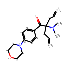 C=CCC(CC=C)(C(=O)c1ccc(N2CCOCC2)cc1)N(C)C